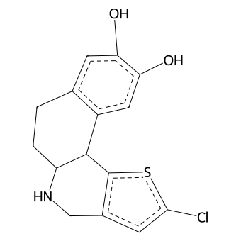 Oc1cc2c(cc1O)C1c3sc(Cl)cc3CNC1CC2